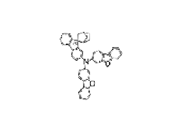 c1ccc2c(c1)-c1ccc(N(c3ccc4c(c3)oc3ccccc34)c3ccc4c(c3)oc3ccccc34)cc1[C@]21CC2CCC1C2